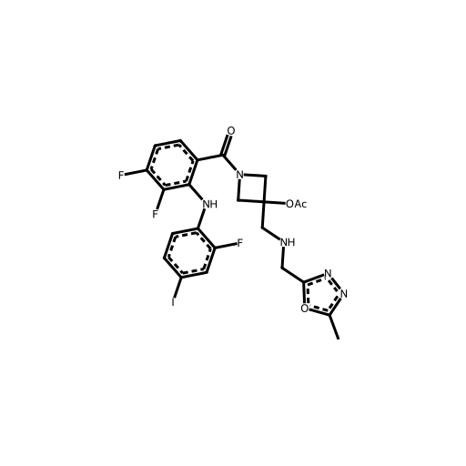 CC(=O)OC1(CNCc2nnc(C)o2)CN(C(=O)c2ccc(F)c(F)c2Nc2ccc(I)cc2F)C1